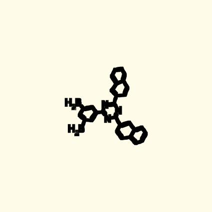 Bc1cc(B)cc(-c2nc(-c3ccc4ccccc4c3)nc(-c3ccc4ccccc4c3)n2)c1